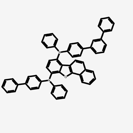 c1ccc(-c2ccc(N(c3ccccc3)c3ccc(N(c4ccccc4)c4ccc(-c5cccc(-c6ccccc6)c5)cc4)c4c3oc3c5ccccc5ccc34)cc2)cc1